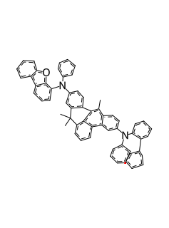 Cc1c2c3c(cccc3c3cc(N(c4ccccc4)c4ccccc4-c4ccccc4)ccc13)C(C)(C)c1cc(N(c3ccccc3)c3cccc4c3oc3ccccc34)ccc1-2